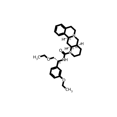 CCOC[C@H](NC(=O)N1CCC[C@@H]2CN3CCc4ccccc4[C@@H]3C[C@@H]21)c1cccc(OCC)c1